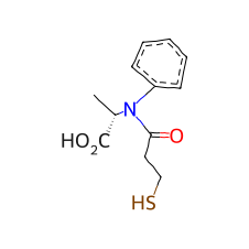 C[C@@H](C(=O)O)N(C(=O)CCS)c1ccccc1